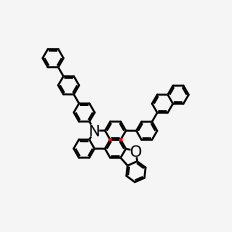 c1ccc(-c2ccc(-c3ccc(N(c4ccc(-c5cccc(-c6ccc7ccccc7c6)c5)cc4)c4ccccc4-c4ccc5oc6ccccc6c5c4)cc3)cc2)cc1